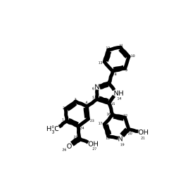 Cc1ccc(-c2nc(-c3ccccc3)[nH]c2-c2ccnc(O)c2)cc1C(=O)O